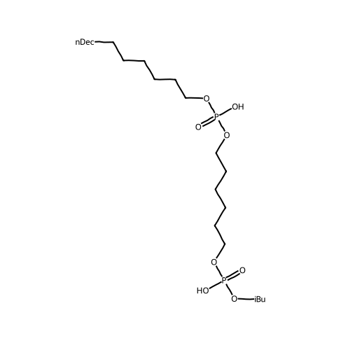 CCCCCCCCCCCCCCCCOP(=O)(O)OCCCCCCOP(=O)(O)OC(C)CC